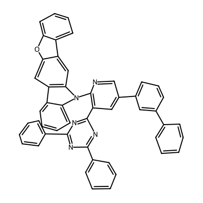 c1ccc(-c2cccc(-c3cnc(-n4c5ccccc5c5cc6oc7ccccc7c6cc54)c(-c4nc(-c5ccccc5)nc(-c5ccccc5)n4)c3)c2)cc1